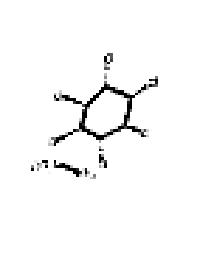 CCOC(N)=O.Cl[C@H]1[C@H](Cl)[C@@H](Cl)[C@@H](Cl)[C@H](Cl)[C@H]1Cl